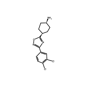 N[C@H]1CC[C@@H](c2nc(-c3ccc(Cl)c(Cl)c3)no2)CC1